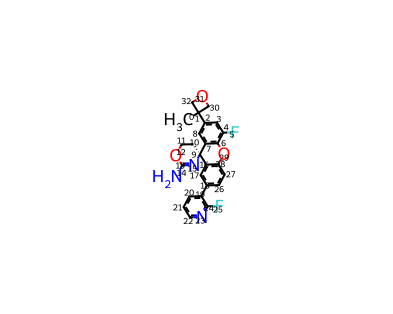 CC1(c2cc(F)c3c(c2)[C@@]2(CCOC(N)=N2)c2cc(-c4cccnc4F)ccc2O3)COC1